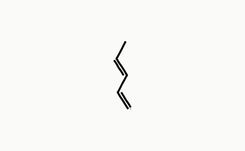 [CH]=CC=CC